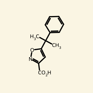 CC(C)(c1ccccc1)c1cc(C(=O)O)no1